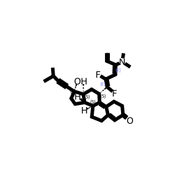 C=C/C(=C\C(F)=C(/F)[C@H]1C[C@@]2(C)[C@@H](CC[C@@]2(O)C#CC(C)C)[C@@H]2CCC3=CC(=O)CCC3=C21)N(C)C